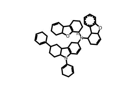 C1=CCCC(C2CCC3C(C2)C2=C(C=CC(N(C4CC=CC5Oc6ccccc6C54)[C@@H]4CCCC5=C4OC4CCC=CC54)C2)N3C2=CCCC=C2)=C1